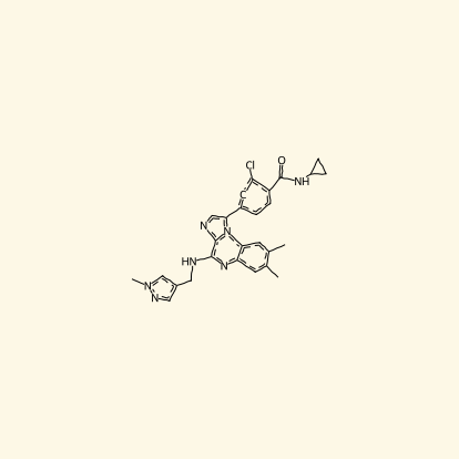 Cc1cc2nc(NCc3cnn(C)c3)c3ncc(-c4ccc(C(=O)NC5CC5)c(Cl)c4)n3c2cc1C